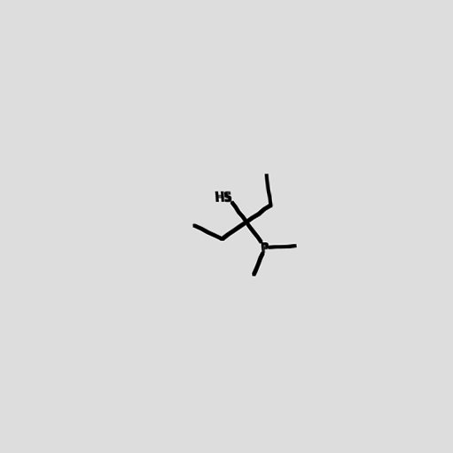 CCC(S)(CC)P(C)C